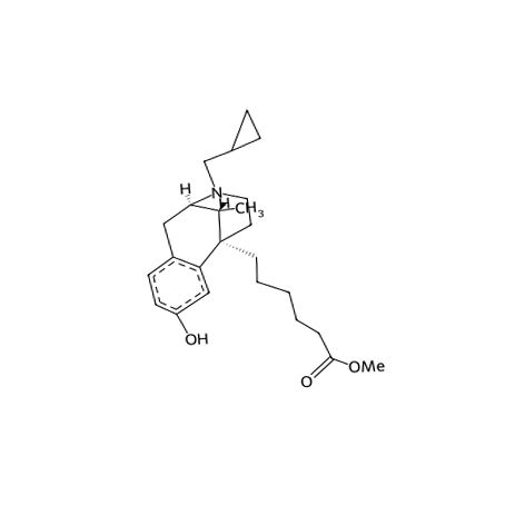 COC(=O)CCCCC[C@]12CCN(CC3CC3)[C@H](Cc3ccc(O)cc31)[C@@H]2C